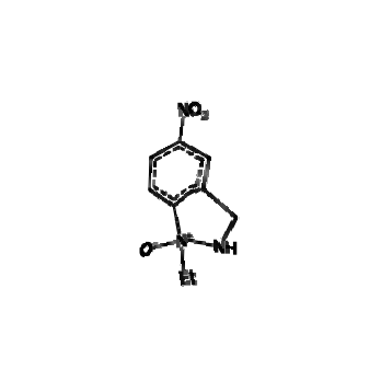 CC[N+]1([O-])NCc2cc([N+](=O)[O-])ccc21